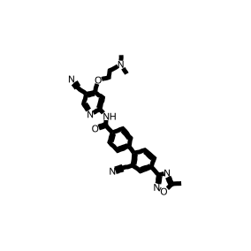 Cc1nc(-c2ccc(-c3ccc(C(=O)Nc4cc(OCCN(C)C)c(C#N)cn4)cc3)c(C#N)c2)no1